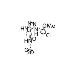 COc1cc(Cl)ccc1CNc1ncnc2[nH]c3c(c12)C[C@@H](C(=O)NCCCS(C)(=O)=O)CC3